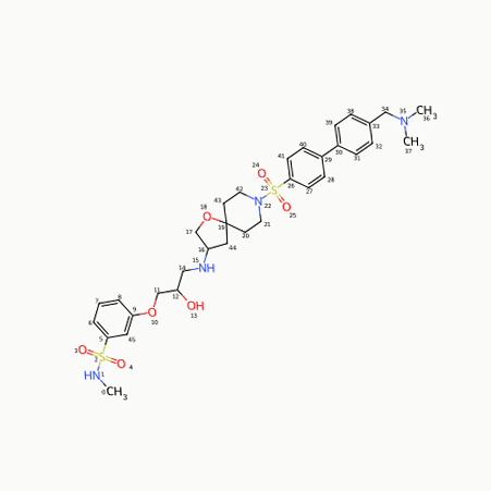 CNS(=O)(=O)c1cccc(OCC(O)CNC2COC3(CCN(S(=O)(=O)c4ccc(-c5ccc(CN(C)C)cc5)cc4)CC3)C2)c1